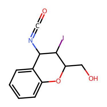 O=C=NC1c2ccccc2OC(CO)C1I